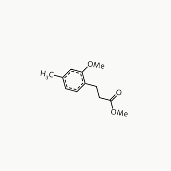 COC(=O)CCc1ccc(C)cc1OC